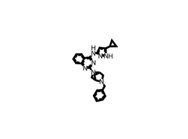 c1ccc(CN2CC3CC2CN3c2nc(Nc3cc(C4CC4)[nH]n3)c3ccccc3n2)cc1